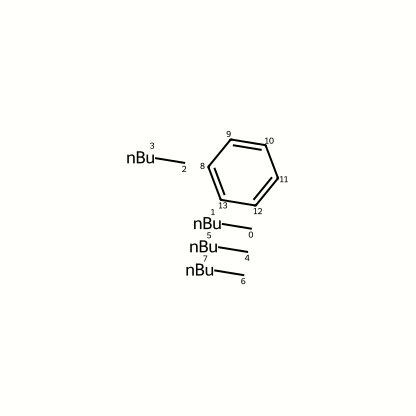 CCCCC.CCCCC.CCCCC.CCCCC.c1ccccc1